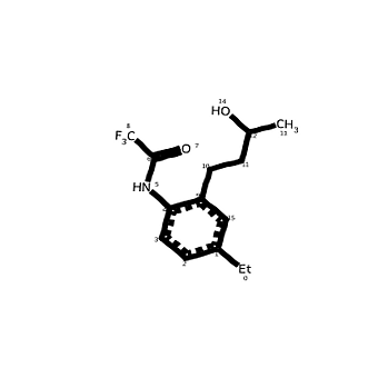 CCc1ccc(NC(=O)C(F)(F)F)c(CCC(C)O)c1